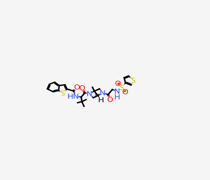 CC(C)(C)C(NC(=O)c1cc2ccccc2s1)C(=O)N1C[C@H]2N(C(=O)CNS(=O)(=O)c3ccsc3)CC21C